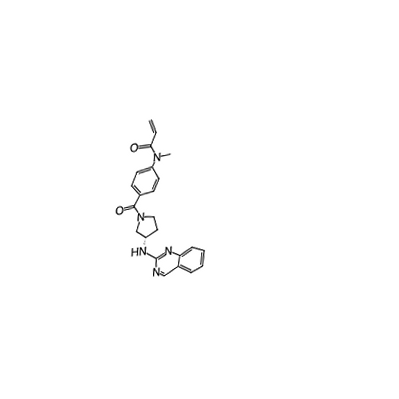 C=CC(=O)N(C)c1ccc(C(=O)N2CC[C@H](Nc3ncc4ccccc4n3)C2)cc1